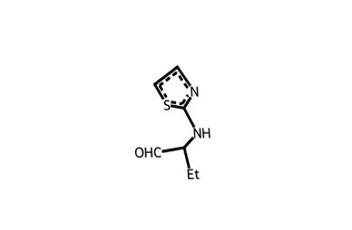 CCC(C=O)Nc1nccs1